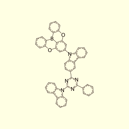 c1ccc(-c2nc(-c3ccc4c(c3)c3ccccc3n4-c3cc4c5c(c3)Oc3ccccc3B5c3ccccc3O4)nc(-n3c4ccccc4c4ccccc43)n2)cc1